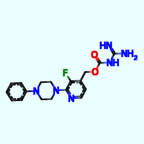 N=C(N)NC(=O)OCc1ccnc(N2CCN(c3ccccc3)CC2)c1F